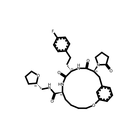 O=C(NC[C@@H]1CCCO1)[C@@H]1CCCCOc2cccc(c2)C[C@H](N2CCCC2=O)C(=O)N[C@@H](CCc2ccc(F)cc2)C(=O)N1